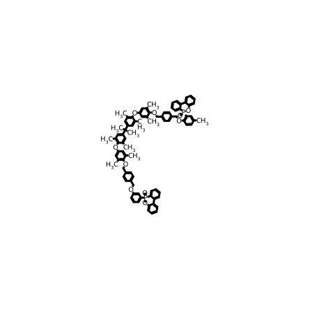 Cc1ccc(OCc2ccc(COc3c(C)cc(Oc4c(C)cc(C(C)(C)c5cc(C)c(Oc6cc(C)c(OCc7ccc(COc8cccc(P9(=O)Oc%10ccccc%10-c%10ccccc%109)c8)cc7)c(C)c6)c(C)c5)cc4C)cc3C)cc2)c(P2(=O)Oc3ccccc3-c3ccccc32)c1